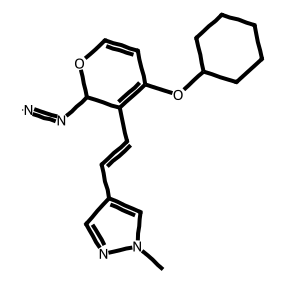 Cn1cc(/C=C/C2=C(OC3CCCCC3)C=COC2N=[N])cn1